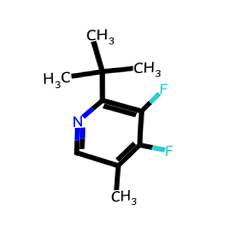 Cc1cnc(C(C)(C)C)c(F)c1F